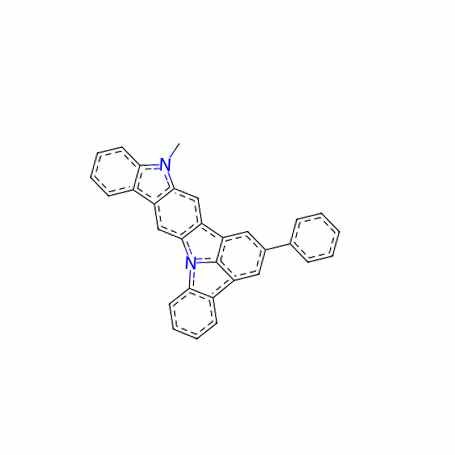 Cn1c2ccccc2c2cc3c(cc21)c1cc(-c2ccccc2)cc2c4ccccc4n3c21